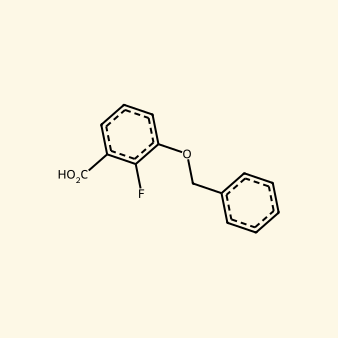 O=C(O)c1cccc(OCc2ccccc2)c1F